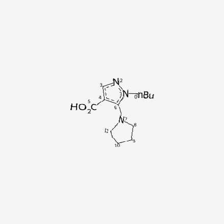 CCCCn1ncc(C(=O)O)c1N1CCCC1